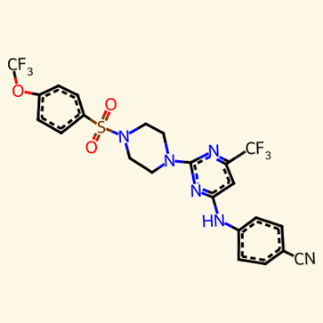 N#Cc1ccc(Nc2cc(C(F)(F)F)nc(N3CCN(S(=O)(=O)c4ccc(OC(F)(F)F)cc4)CC3)n2)cc1